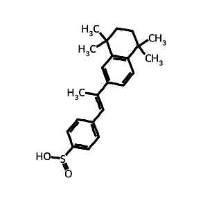 C/C(=C\c1ccc(S(=O)O)cc1)c1ccc2c(c1)C(C)(C)CCC2(C)C